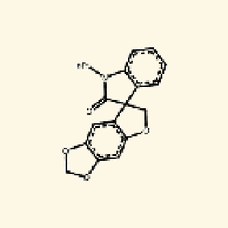 CCCN1C(=O)C2(COc3cc4c(cc32)OCO4)c2ccccc21